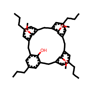 CCCc1cc2c(O)c(c1)Cc1cc(CCC)cc(c1OC)Cc1cc(CCC)cc(c1OC)Cc1cc(CCC)cc(c1OC)C2